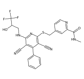 CNC(=O)c1cc(CSc2nc(NCC(O)C(F)(F)F)c(C#N)c(-c3ccccc3)c2C#N)ccn1